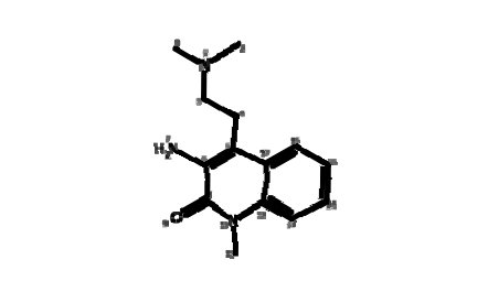 CN(C)CCc1c(N)c(=O)n(C)c2ccccc12